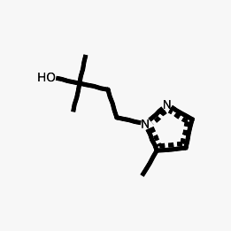 Cc1ccnn1CCC(C)(C)O